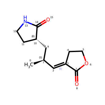 C[C@H](/C=C1\CCOC1=O)C[C@@H]1CCNC1=O